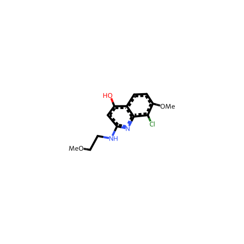 COCCNc1cc(O)c2ccc(OC)c(Cl)c2n1